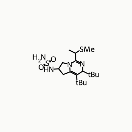 CSC(C)C1=NC(C(C)(C)C)C(C(C)(C)C)=C2CC(NS(N)(=O)=O)CN12